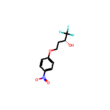 O=[N+]([O-])c1ccc(OCC[C@@H](O)C(F)(F)F)cc1